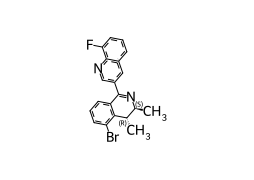 C[C@@H]1N=C(c2cnc3c(F)cccc3c2)c2cccc(Br)c2[C@H]1C